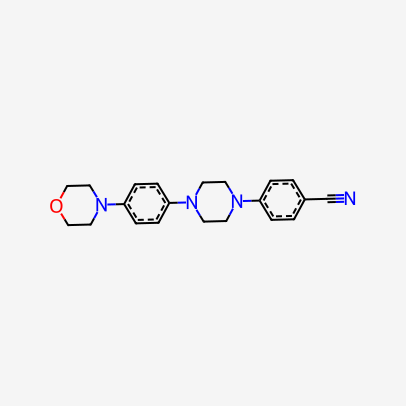 N#Cc1ccc(N2CCN(c3ccc(N4CCOCC4)cc3)CC2)cc1